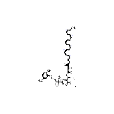 CC/C=C\C/C=C\C/C=C\C/C=C\C/C=C\C/C=C\CCC(=O)NCC(=O)OC(C)C(NC(=O)C(C)(C)CCCOc1cc(C)ccc1C)C(=O)OC